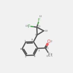 CCC(=O)c1ccccc1C1CC1(F)F